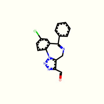 O=Cc1nnn2c1CN=C(c1ccccc1)c1cc(Cl)ccc1-2